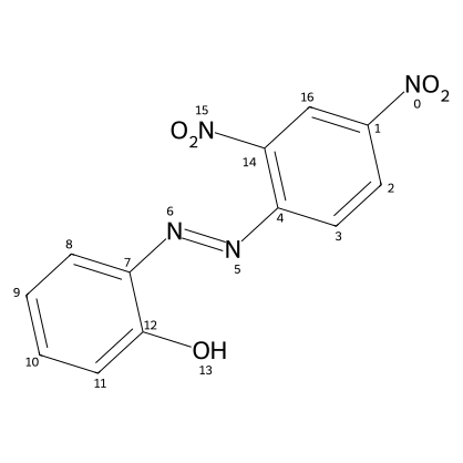 O=[N+]([O-])c1ccc(N=Nc2ccccc2O)c([N+](=O)[O-])c1